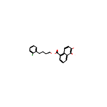 O=C(OCCCCc1ccccc1F)c1cccc2c(O)c(O)ccc12